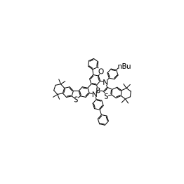 CCCCc1ccc(N2c3c(sc4cc5c(cc34)C(C)(C)CCC5(C)C)B3c4c(cc5c(oc6ccccc65)c42)-c2cc4c(cc2N3c2ccc(-c3ccccc3)cc2)sc2cc3c(cc24)C(C)(C)CCC3(C)C)cc1